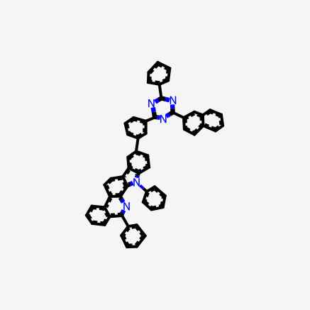 c1ccc(-c2nc(-c3cccc(-c4ccc5c(c4)c4ccc6c7ccccc7c(-c7ccccc7)nc6c4n5-c4ccccc4)c3)nc(-c3ccc4ccccc4c3)n2)cc1